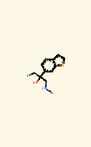 CCNCC(O)(CF)c1ccc2ccsc2c1